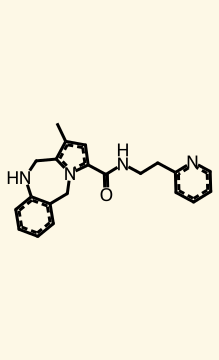 Cc1cc(C(=O)NCCc2ccccn2)n2c1CNc1ccccc1C2